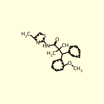 COc1ccccc1C(c1ccccc1)C(C)(C)C(=O)Nc1nc(C)cs1